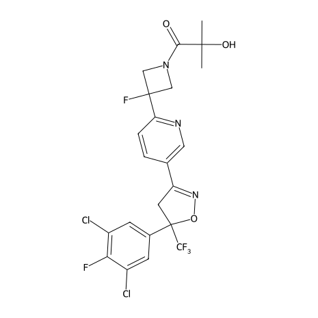 CC(C)(O)C(=O)N1CC(F)(c2ccc(C3=NOC(c4cc(Cl)c(F)c(Cl)c4)(C(F)(F)F)C3)cn2)C1